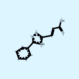 O=C(O)/C=C/c1nnc(-c2ccccc2)[nH]1